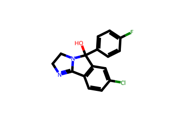 OC1(c2ccc(F)cc2)c2cc(Cl)ccc2C2=NCCN21